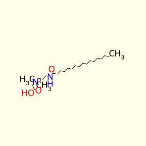 CCCCCCCCCCCCCCCCC(=O)NCCC[N+](C)(C)CC(=O)O